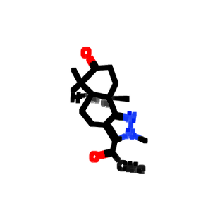 COC(=O)c1c2c(nn1C)[C@@]1(C)CCC(=O)C(C)(C)[C@@H]1CC2